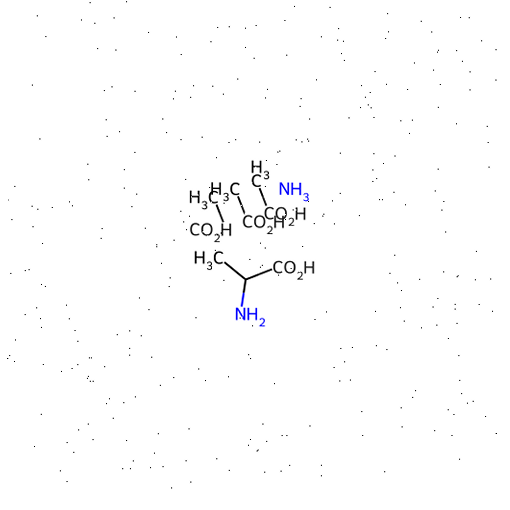 CC(=O)O.CC(=O)O.CC(=O)O.CC(N)C(=O)O.N